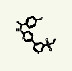 CCS(=O)(=O)c1cncc(-c2ccc(NC(C)c3ccc(F)cc3)nc2)c1